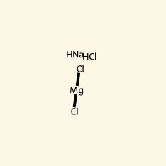 Cl.[Cl][Mg][Cl].[NaH]